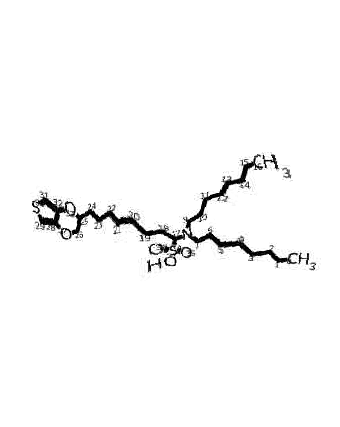 CCCCCCCCN(CCCCCCCC)C(CCCCCCCC1COc2cscc2O1)S(=O)(=O)O